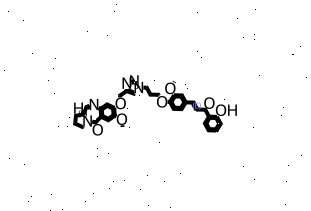 COc1cc(/C=C/C(=O)c2ccccc2O)ccc1OCCCn1cc(COc2cc3c(cc2OC)C(=O)N2CCC[C@H]2C=N3)nn1